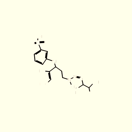 C/C=C(\C)C(CCN(C)/N=N\C(C)C(C)C)Nc1cccc(S(C)(=O)=O)c1